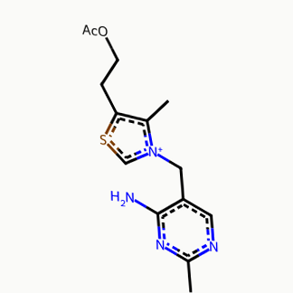 CC(=O)OCCc1sc[n+](Cc2cnc(C)nc2N)c1C